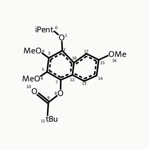 CCCC(C)Oc1c(OC)c(OC)c(OC(=O)C(C)(C)C)c2ccc(OC)cc12